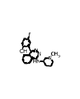 CN1CCCC(Nc2nnc(-c3cc(F)ccc3O)c3ccccc23)C1